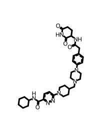 O=C1CCC(NC(=O)Cc2ccc(N3CCN(CC4CCN(c5ccc(C(=O)NC6CCCCC6)nn5)CC4)CC3)cc2)C(=O)N1